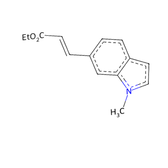 CCOC(=O)/C=C/c1ccc2ccn(C)c2c1